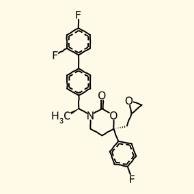 C[C@@H](c1ccc(-c2ccc(F)cc2F)cc1)N1CC[C@](CC2CO2)(c2ccc(F)cc2)OC1=O